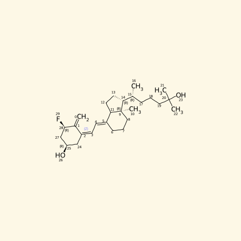 C=C1/C(=C\C=C2CCC[C@@]3(C)C2CC[C@@H]3[C@H](C)CCCC(C)(C)O)C[C@@H](O)C[C@H]1F